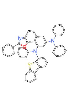 c1ccc(-c2nc3ccc4cc(N(c5ccccc5)c5ccccc5)cc(N(c5ccccc5)c5cccc6c5sc5ccccc56)c4c3o2)cc1